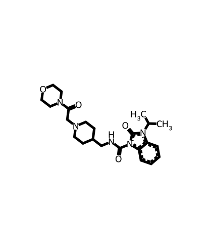 CC(C)n1c(=O)n(C(=O)NCC2CCN(CC(=O)N3CCOCC3)CC2)c2ccccc21